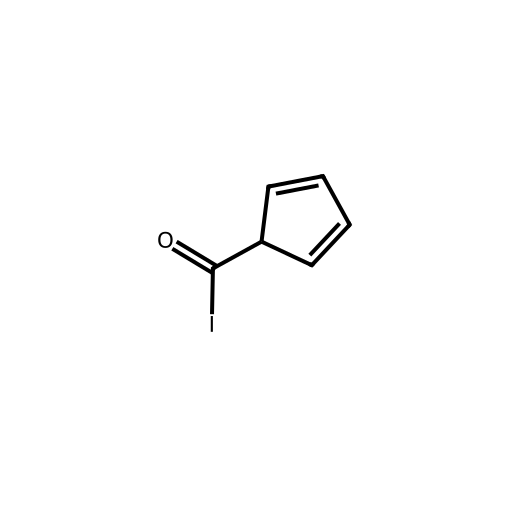 O=C(I)C1C=CC=C1